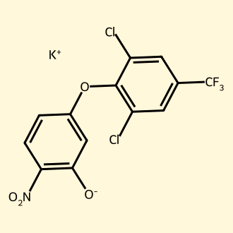 O=[N+]([O-])c1ccc(Oc2c(Cl)cc(C(F)(F)F)cc2Cl)cc1[O-].[K+]